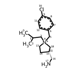 CC(C)C[N+]1(Cc2ccc(Cl)cc2)CC[C@@H](CN)C1